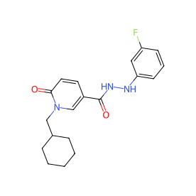 O=C(NNc1cccc(F)c1)c1ccc(=O)n(CC2CCCCC2)c1